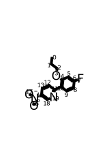 CCCOc1cc(F)ccc1-c1ccc([N+](=O)[O-])cn1